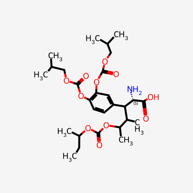 CCC(C)OC(=O)OC(C)C(C)C(c1ccc(OC(=O)OCC(C)C)c(OC(=O)OCC(C)C)c1)[C@H](N)C(=O)O